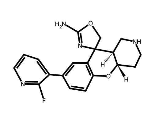 NC1=NC2(CO1)c1cc(-c3cccnc3F)ccc1O[C@H]1CCNC[C@@H]12